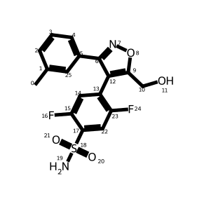 Cc1cccc(-c2noc(CO)c2-c2cc(F)c(S(N)(=O)=O)cc2F)c1